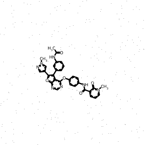 CC(=O)Nc1cccc(-c2c(-c3cnn(C)c3)oc3ncnc(Oc4ccc(NC(=O)c5cccn(C)c5=O)cc4)c23)c1